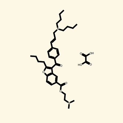 CCCCc1oc2ccc(C(=O)OCCN(C)C)cc2c1C(=O)c1ccc(C=CCN(CCCC)CCCC)cc1.O=C(O)C(=O)O